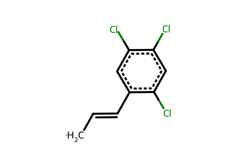 [CH2]C=Cc1cc(Cl)c(Cl)cc1Cl